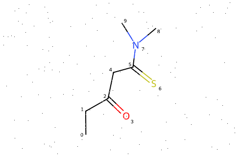 CCC(=O)CC(=S)N(C)C